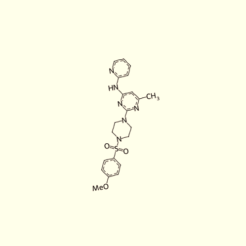 COc1ccc(S(=O)(=O)N2CCN(c3nc(C)cc(Nc4ccccn4)n3)CC2)cc1